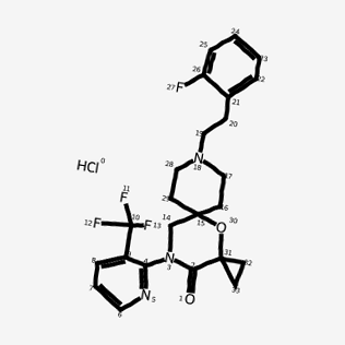 Cl.O=C1N(c2ncccc2C(F)(F)F)CC2(CCN(CCc3ccccc3F)CC2)OC12CC2